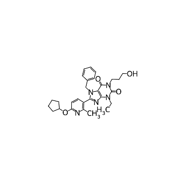 CCn1c(=O)n(CCCO)c(=O)c2c1nc(-c1ccc(OC3CCCC3)nc1C)n2Cc1ccccc1